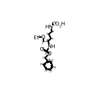 CCOC[C@H](CCCNC(=O)O)NC(=O)OCc1ccccc1